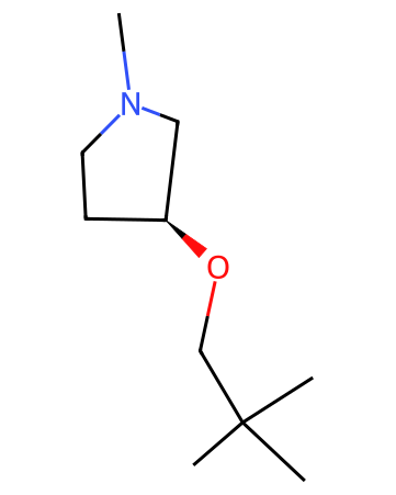 CN1CC[C@H](OCC(C)(C)C)C1